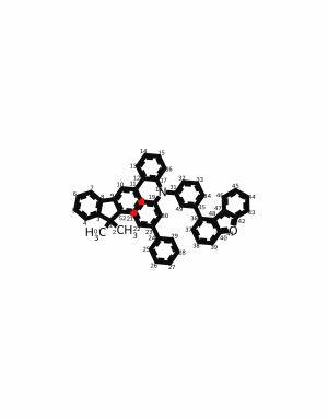 CC1(C)c2ccccc2-c2cc(-c3ccccc3N(c3cccc(-c4ccccc4)c3)c3cccc(-c4cccc5oc6ccccc6c45)c3)ccc21